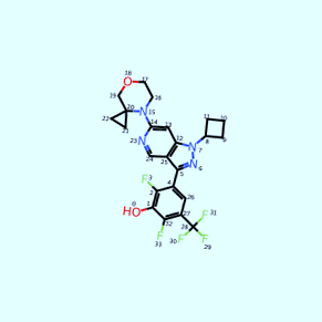 Oc1c(F)c(-c2nn(C3CCC3)c3cc(N4CCOCC45CC5)ncc23)cc(C(F)(F)F)c1F